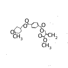 C=C(COC(=O)c1ccc(C(=O)OCC2CCC3(C)OC3C2)cc1)C(=O)OCC